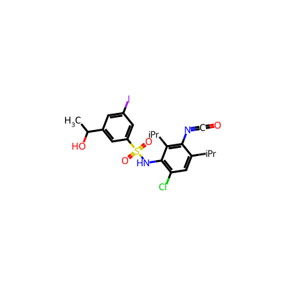 CC(C)c1cc(Cl)c(NS(=O)(=O)c2cc(I)cc(C(C)O)c2)c(C(C)C)c1N=C=O